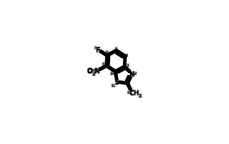 Cc1nc2ccc(F)c([N+](=O)[O-])c2s1